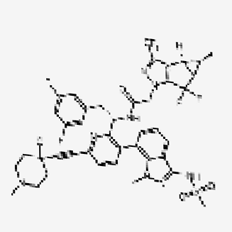 C[C@H]1C2[C@H]1c1c(C(F)(F)F)nn(CC(=O)N[C@@H](Cc3cc(F)cc(F)c3)c3nc(C#CC4(O)CCN(C)CC4)ccc3-c3cccc4c(NS(C)(=O)=O)nn(C)c34)c1C2(F)F